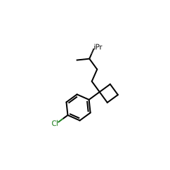 CC(C)C(C)CCC1(c2ccc(Cl)cc2)CCC1